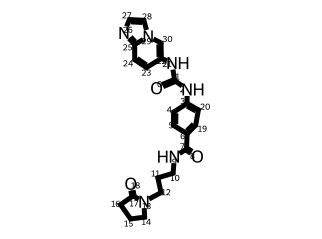 O=C(Nc1ccc(C(=O)NCCCN2CCCC2=O)cc1)Nc1ccc2nccn2c1